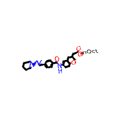 CCCCCCCCOC(=O)CC1COc2ccc(NC(=O)c3ccc(C=NN4CCCCC4)cc3)cc2C1